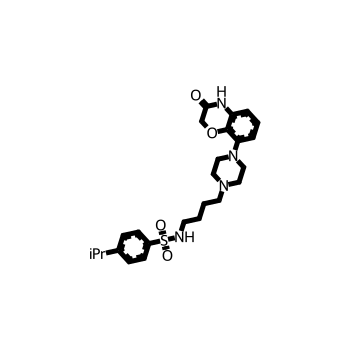 CC(C)c1ccc(S(=O)(=O)NCCCCN2CCN(c3cccc4c3OCC(=O)N4)CC2)cc1